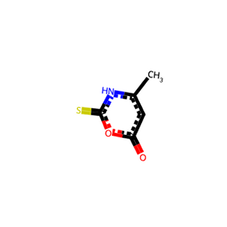 Cc1cc(=O)oc(=S)[nH]1